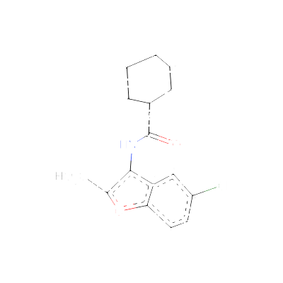 O=C(O)c1oc2ccc(Cl)cc2c1NC(=O)C1CCCCC1